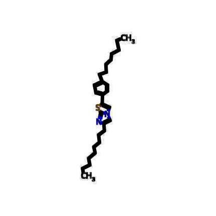 CCCCCCCCCc1cn2cc(-c3ccc(CCCCCCCC)cc3)sc2n1